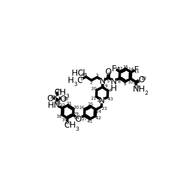 CCCCN(C(=O)Nc1cc(C(N)=O)c(F)cc1F)C1CCN(Cc2ccc(Oc3ccc(NS(C)(=O)=O)cc3C)cc2)CC1.Cl